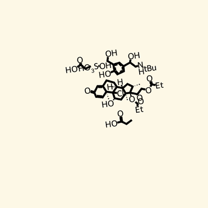 CC(C)(C)NCC(O)c1ccc(O)c(CO)c1.CCC(=O)O.CCC(=O)O.CCC(=O)OCC(=O)[C@@]1(OC(=O)CC)[C@@H](C)C[C@H]2[C@@H]3CCC4=CC(=O)C=C[C@]4(C)C3(Cl)[C@@H](O)C[C@@]21C.O=S(=O)(O)O